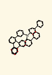 c1ccc(-c2ccc(N(c3cccc(-c4cccc(-c5ccccc5)c4-c4ccccc4-c4ccccc4)c3)c3ccccc3-c3ccccc3)cc2)cc1